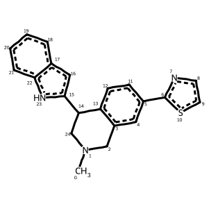 CN1Cc2cc(-c3nccs3)ccc2C(c2cc3ccccc3[nH]2)C1